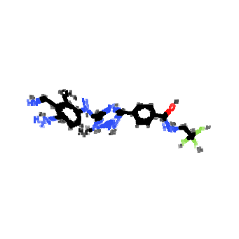 Cc1c(Nc2nc(-c3ccc(C(=O)NCC(F)(F)F)cc3)nn2C)ccc(N)c1C=N